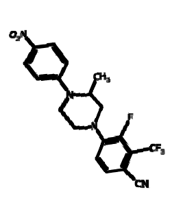 CC1CN(c2ccc(C#N)c(C(F)(F)F)c2F)CCN1c1ccc([N+](=O)[O-])cc1